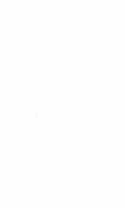 Fc1cc(O[PH](=S)SCCS)cc(F)c1F